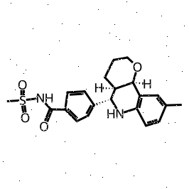 Cc1ccc2c(c1)[C@@H]1OCCC[C@@H]1[C@@H](c1ccc(C(=O)NS(C)(=O)=O)cc1)N2